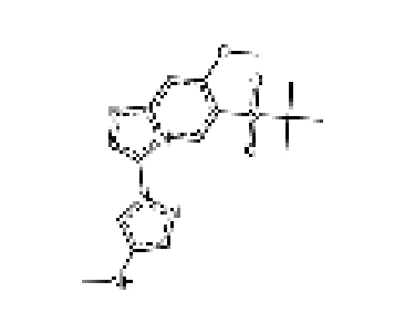 CNc1cnn(-c2cnc3cc(OC)c(S(=O)(=O)C(C)(C)C)cn23)c1